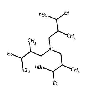 CCCCC(CC)C(C)[CH2][Al]([CH2]C(C)C(CC)CCCC)[CH2]C(C)C(CC)CCCC